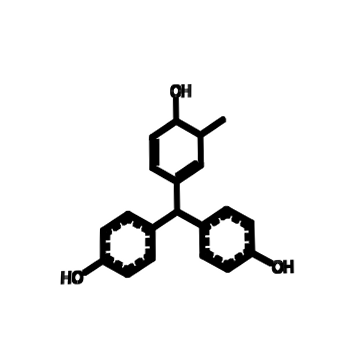 CC1C=C(C(c2ccc(O)cc2)c2ccc(O)cc2)C=CC1O